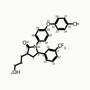 O=C1C(CCCO)CC(c2cccc(C(F)(F)F)c2)N1c1ccc(Oc2ccc(Cl)cc2)cc1